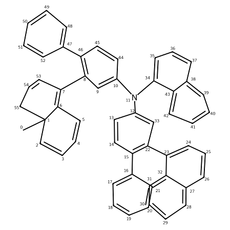 CC12C=CC=CC1=C(c1cc(N(c3ccc(-c4ccccc4)c(-c4cccc5ccccc45)c3)c3cccc4ccccc34)ccc1-c1ccccc1)C=CC2